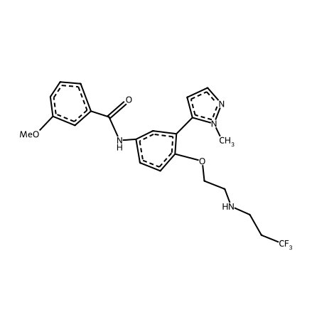 COc1cccc(C(=O)Nc2ccc(OCCNCCC(F)(F)F)c(-c3ccnn3C)c2)c1